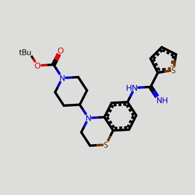 CC(C)(C)OC(=O)N1CCC(N2CCSc3ccc(NC(=N)c4cccs4)cc32)CC1